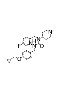 CN1CCC(N(Cc2ccc(F)cn2)C(=O)NCc2ccc(OCC3CC3)cc2)CC1